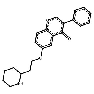 O=c1c(-c2ccccc2)coc2ccc(OCCC3CCCCN3)cc12